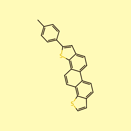 Cc1ccc(-c2cc3ccc4c5ccc6ccsc6c5ccc4c3s2)cc1